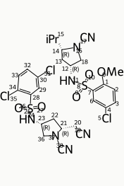 COc1ccc(Cl)cc1S(=O)(=O)N[C@@H]1C[C@H](C(C)C)N(C#N)C1.N#CC[C@H]1C[C@@H](NS(=O)(=O)c2cc(Cl)ccc2Cl)CN1C#N